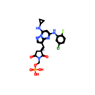 O=C1C/C(=C\c2cnn3c(NC4CC4)cc(Nc4cc(Cl)ccc4F)nc23)C(=O)N1COP(=O)(O)O